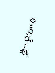 CS(=O)(=O)OCCCc1ccc(Sc2cccc(OCc3ccccc3)c2)cc1Cl